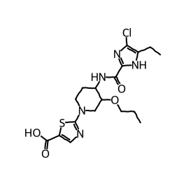 CCCOC1CN(c2ncc(C(=O)O)s2)CCC1NC(=O)c1nc(Cl)c(CC)[nH]1